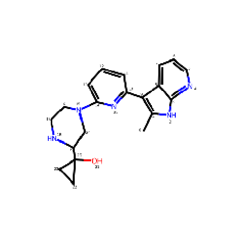 Cc1[nH]c2ncccc2c1-c1cccc(N2CCNC(C3(O)CC3)C2)n1